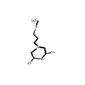 COCCCN1C[C@@H](C)N[C@@H](C)C1